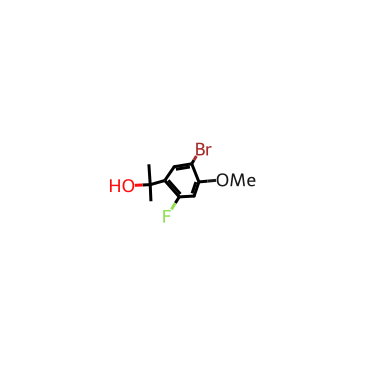 COc1cc(F)c(C(C)(C)O)cc1Br